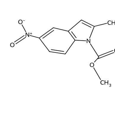 COC(=O)n1c(C)cc2cc([N+](=O)[O-])ccc21